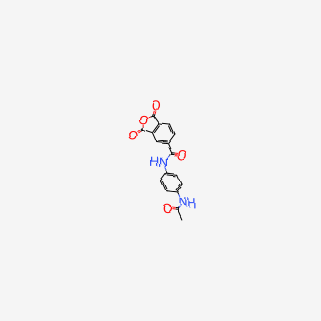 CC(=O)Nc1ccc(NC(=O)c2ccc3c(c2)C(=O)OC3=O)cc1